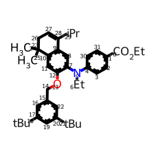 CCOC(=O)c1ccc(N(CC)c2cc3c(cc2OCc2cc(C(C)(C)C)cc(C(C)(C)C)c2)C(C)(C)CC=C3C(C)C)cc1